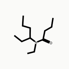 CCCC(=O)N(CC)C(CC)CCC